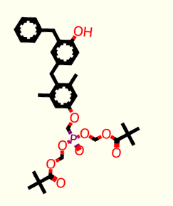 Cc1cc(OCP(=O)(OCOC(=O)C(C)(C)C)OCOC(=O)C(C)(C)C)cc(C)c1Cc1ccc(O)c(Cc2ccccc2)c1